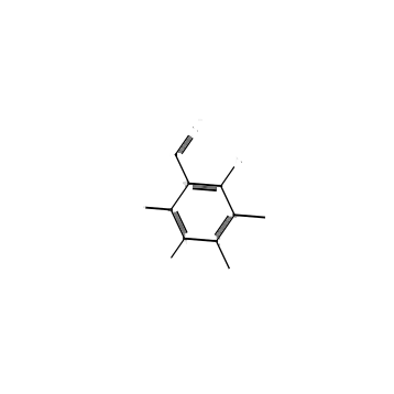 Cc1c(C)c(F)c(O)c(C=N)c1N